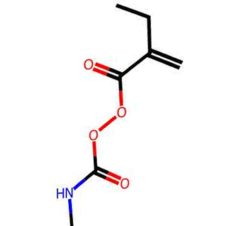 C=C(CC)C(=O)OOC(=O)NC